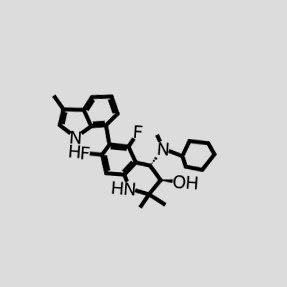 Cc1c[nH]c2c(-c3c(F)cc4c(c3F)[C@H](N(C)C3CCCCC3)[C@@H](O)C(C)(C)N4)cccc12